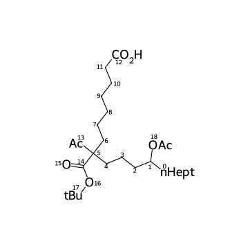 CCCCCCCC(CCCC(CCCCCCC(=O)O)(C(C)=O)C(=O)OC(C)(C)C)OC(C)=O